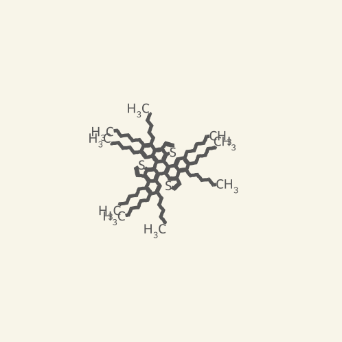 CCCCCCc1cc2c(c(CCCCCC)c1CCCCCC)c1ccsc1c1c2c2c3sccc3c3c(CCCCCC)c(CCCCCC)c(CCCCCC)cc3c2c2c3sccc3c3c(CCCCCC)c(CCCCCC)c(CCCCCC)cc3c12